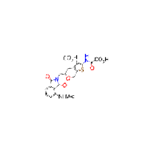 CC(=O)Nc1cccc2c1C(=O)N(CC1Cc3c(sc(NC(=O)C(=O)O)c3C(=O)O)CO1)C2=O